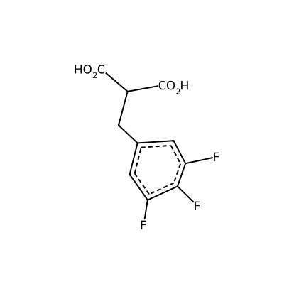 O=C(O)C(Cc1cc(F)c(F)c(F)c1)C(=O)O